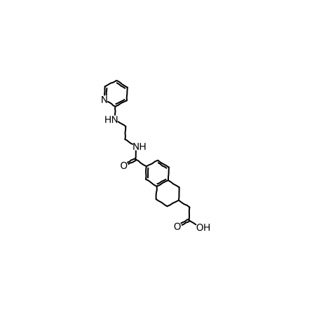 O=C(O)CC1CCc2cc(C(=O)NCCNc3ccccn3)ccc2C1